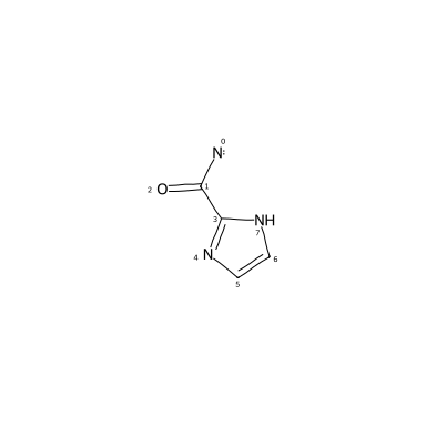 [N]C(=O)c1ncc[nH]1